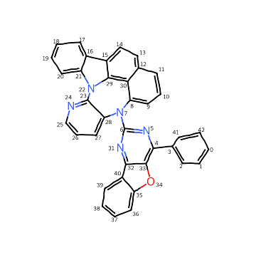 c1ccc(-c2nc(-n3c4cccc5ccc6c7ccccc7n(c7ncccc73)c6c54)nc3c2oc2ccccc23)cc1